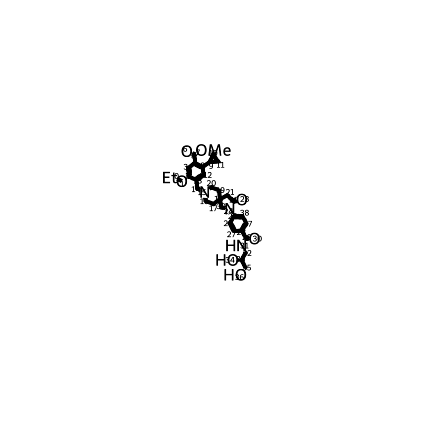 CCOc1cc(C(=O)OC)c(C2CC2)cc1CN1CCC2(CC1)CC(=O)N(c1ccc(C(=O)NC[C@H](O)CO)cc1)C2